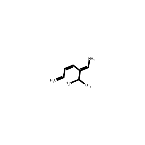 C=C/C=C\C(=C/N)C(C)N